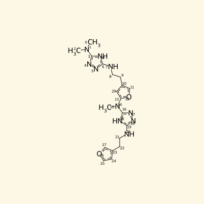 CN(C)c1nnc(NCCc2coc(N(C)c3nnc(NCCc4ccoc4)[nH]3)c2)[nH]1